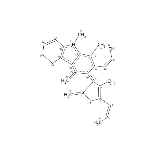 C=C1CC(/C=C\C)=C(C)C/1=c1\c(/C=C\C)c(C)c2c(c3c(n2C)C=CCC3)c1=C